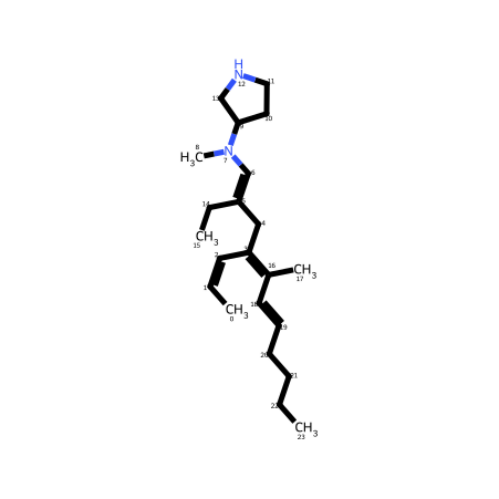 C\C=C/C(C/C(=C/N(C)C1CCNC1)CC)=C(C)\C=C\CCCC